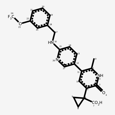 Cc1[nH]c(=O)c(C2(C(=O)O)CC2)cc1-c1ccc(NCc2cccc(OC(F)(F)F)c2)nc1